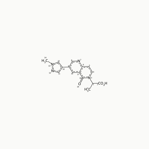 CC(C(=O)O)n1ccc2ncc(-c3cnn(C)c3)cc2c1=O